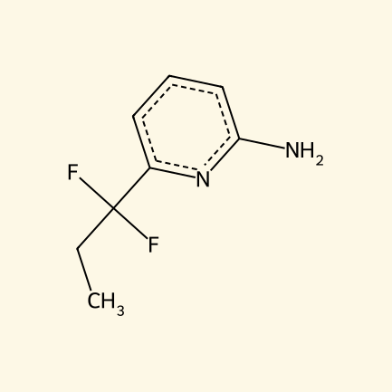 CCC(F)(F)c1cccc(N)n1